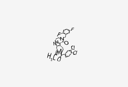 C[C@@H]1Cc2nn3c(c2CN1C(=O)c1ccc(Cl)c(Cl)c1)C(=O)N(Cc1cc(F)ccc1F)CC3